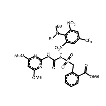 CCCCN(CC)c1c([N+](=O)[O-])cc(C(F)(F)F)cc1[N+](=O)[O-].COC(=O)c1ccccc1CS(=O)(=O)NC(=O)Nc1nc(OC)cc(OC)n1